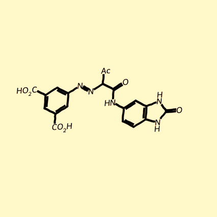 CC(=O)C(N=Nc1cc(C(=O)O)cc(C(=O)O)c1)C(=O)Nc1ccc2[nH]c(=O)[nH]c2c1